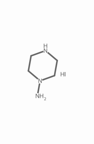 I.NN1CCNCC1